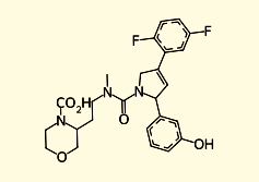 CN(CCC1COCCN1C(=O)O)C(=O)N1CC(c2cc(F)ccc2F)=CC1c1cccc(O)c1